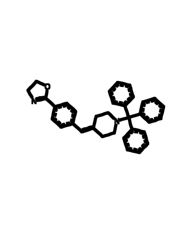 C(=C1CCN(C(c2ccccc2)(c2ccccc2)c2ccccc2)CC1)c1ccc(C2=NCCO2)cc1